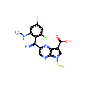 CNc1cc(F)cc(F)c1C(=N)c1cnc2c(n1)c(C(=O)O)cn2SF